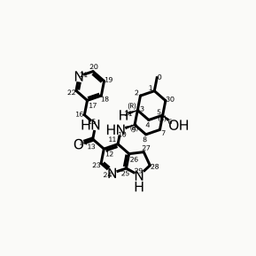 CC1C[C@@H]2C[C@@](O)(CC[C@H]2Nc2c(C(=O)NCc3cccnc3)cnc3c2CCN3)C1